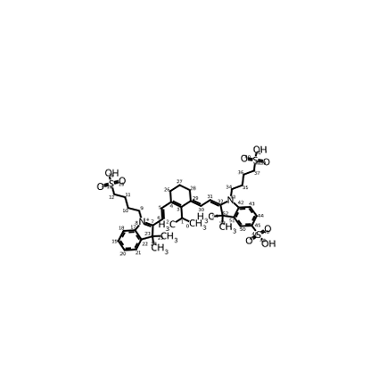 CC(C)C1=C(/C=C/C2=[N+](CCCCS(=O)(=O)O)c3ccccc3C2(C)C)CCC/C1=C\C=C1\N(CCCCS(=O)(=O)O)c2ccc(S(=O)(=O)O)cc2C1(C)C